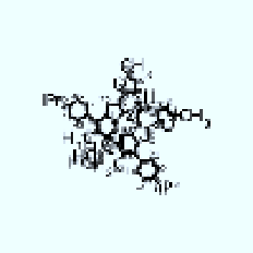 Cc1ccc(C2=Cc3c(cc(C)c(C)c3-c3ccc(C(C)C)cc3)[CH]2[Zr]([CH]2C(c3ccc(C)o3)=Cc3c2cc(C)c(C)c3-c2ccc(C(C)C)cc2)=[Si](C)C)o1.Cl.Cl